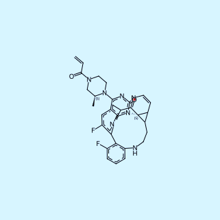 C=CC(=O)N1CCN(c2nc(=O)n3c4nc(c(F)cc24)-c2c(F)cccc2NCCC2C4C=CN=C(C(C)C)[C@@]423)[C@@H](C)C1